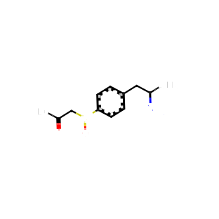 CCC(=O)C[S+]([O-])c1ccc(CC(N)C=O)cc1